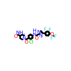 Cn1c(-c2ccc(OC(F)F)c(F)c2F)cnc1C(=O)Nc1ccc(C(=O)N2CCC(C(N)=O)CC2)c(Cl)c1